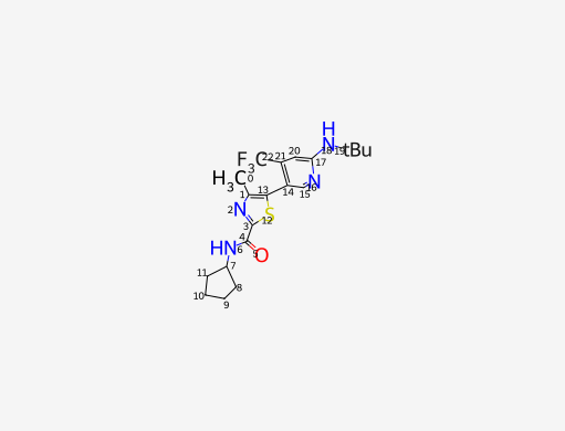 Cc1nc(C(=O)NC2CCCC2)sc1-c1cnc(NC(C)(C)C)cc1C(F)(F)F